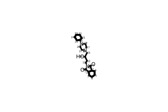 O=C1c2ccccc2C(=O)N1CCC(O)CN1CCN(c2ccccc2)CC1